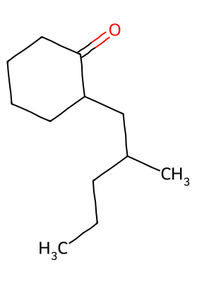 CCCC(C)CC1CCCCC1=O